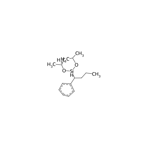 CCCC(c1ccccc1)[SiH](OC(C)C)OC(C)C